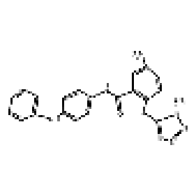 Cn1nnnc1Sc1ccc([N+](=O)[O-])cc1C(=O)Nc1ccc(Nc2ccccc2)cc1